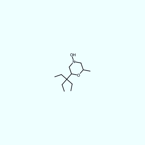 CCC(CC)(CC)C1CN(O)CC(C)O1